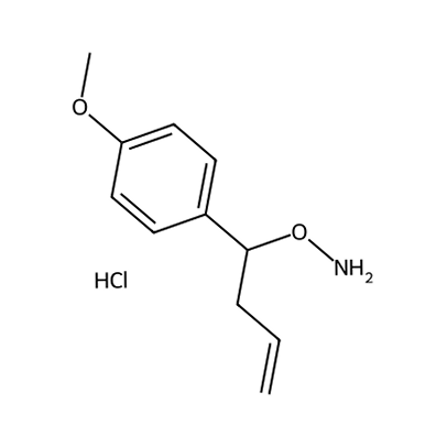 C=CCC(ON)c1ccc(OC)cc1.Cl